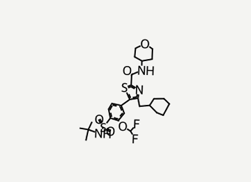 CC(C)(C)NS(=O)(=O)c1ccc(-c2sc(C(=O)NC3CCOCC3)nc2CC2CCCCC2)cc1OC(F)F